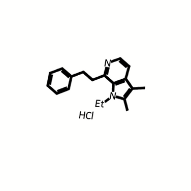 CCn1c(C)c(C)c2ccnc(CCc3ccccc3)c21.Cl